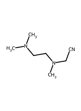 CN(C)CCN(C)CC#N